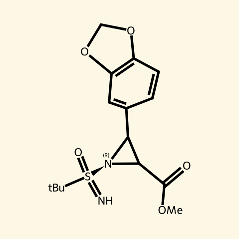 COC(=O)C1C(c2ccc3c(c2)OCO3)[N@]1S(=N)(=O)C(C)(C)C